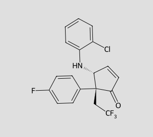 O=C1C=C[C@@H](Nc2ccccc2Cl)[C@@]1(CC(F)(F)F)c1ccc(F)cc1